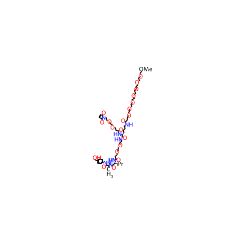 COCCOCCOCCOCCOCCOCCOCCOCCC(=O)NCCCC[C@H](NC(=O)CCOCCOCCN1C(=O)C=CC1=O)C(=O)NCCOCCOCCC(=O)N[C@H](C(=O)N[C@@H](C)C(=O)Nc1ccc(CO)cc1)C(C)C